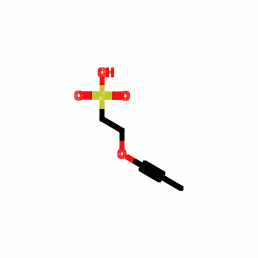 CC#COCCS(=O)(=O)O